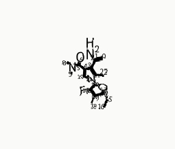 C=C(N)c1c(C(=O)N(C)C)cn([C@@H]2O[C@H](CC)[C@@H](C)[C@@H]2F)c1C